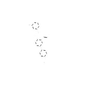 Cc1cc(C)cc(COc2ccc(-c3ccc(OC(F)(F)F)cc3)cc2C=CC(=O)O)c1